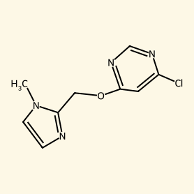 Cn1ccnc1COc1cc(Cl)ncn1